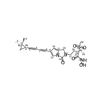 [CH2][C@@]1(F)C[C@@H]1C#CC#Cc1cc2n(c1)C(=O)N(CC[C@](C)(C(=O)NO)S(C)(=O)=O)C2